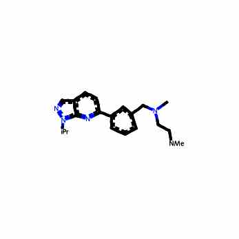 CNCCN(C)Cc1cccc(-c2ccc3cnn(C(C)C)c3n2)c1